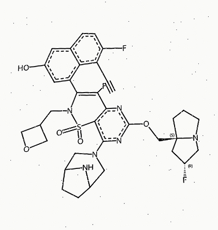 C#Cc1c(F)ccc2cc(O)cc(C3=C(F)c4nc(OC[C@@]56CCCN5C[C@H](F)C6)nc(N5CC6CCC(C5)N6)c4S(=O)(=O)N3CC3COC3)c12